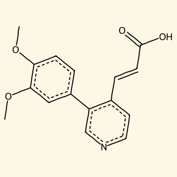 COc1ccc(-c2cnccc2/C=C/C(=O)O)cc1OC